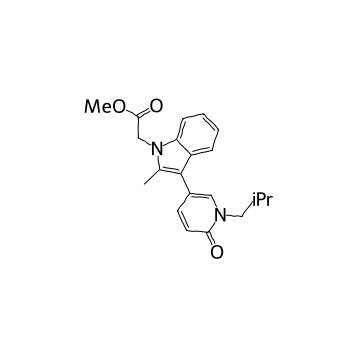 COC(=O)Cn1c(C)c(-c2ccc(=O)n(CC(C)C)c2)c2ccccc21